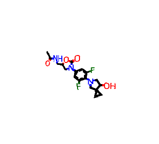 CC(=O)NCC1CN(c2cc(F)c(N3CC(O)C4(CC4)C3)c(F)c2)C(=O)O1